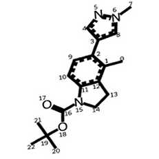 Cc1c(-c2cnn(C)c2)ccc2c1CCN2C(=O)OC(C)(C)C